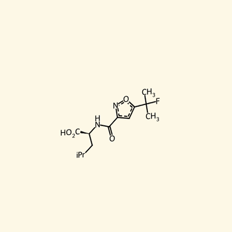 CC(C)C[C@H](NC(=O)c1cc(C(C)(C)F)on1)C(=O)O